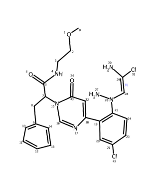 COCCNC(=O)C(Cc1ccccc1)n1cnc(-c2cc(Cl)ccc2N(N)/C=C(\N)Cl)cc1=O